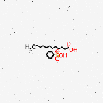 CCCCCCCCCCCC(=O)O.O=S(=O)(O)c1ccccc1